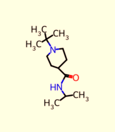 CC(C)NC(=O)C1CCN(C(C)(C)C)CC1